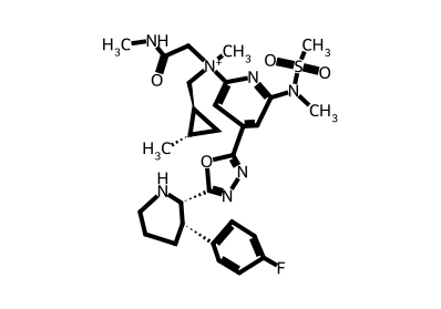 CNC(=O)C[N+](C)(C[C@H]1C[C@@H]1C)c1cc(-c2nnc([C@H]3NCCC[C@H]3c3ccc(F)cc3)o2)cc(N(C)S(C)(=O)=O)n1